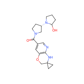 O=C(c1cnc2c(c1)OCC1(CC1)N2)N1CC[C@H](N2CCCC2O)C1